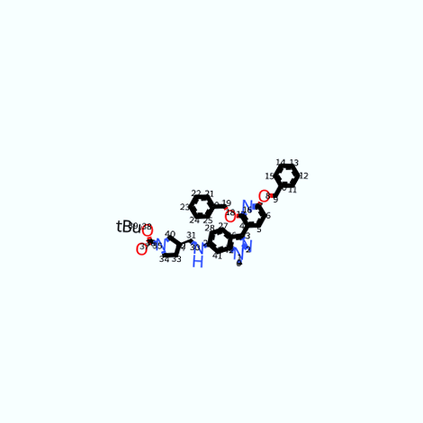 Cn1nc(-c2ccc(OCc3ccccc3)nc2OCc2ccccc2)c2ccc(NC[C@H]3CCN(C(=O)OC(C)(C)C)C3)cc21